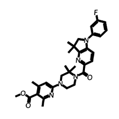 COC(=O)c1c(C)cc(N2CCN(C(=O)c3ccc4c(n3)C(C)(C)CN4c3cccc(F)c3)C(C)(C)C2)nc1C